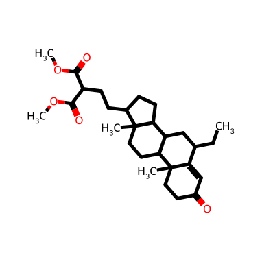 CCC1CC2C(CCC3(C)C(CCC(C(=O)OC)C(=O)OC)CCC23)C2(C)CCC(=O)C=C12